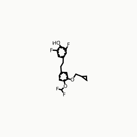 Oc1c(F)cc(CCc2ccc(OC(F)F)c(OCC3CC3)c2)cc1F